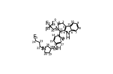 C[C@@H]1Cc2c([nH]c3ccccc23)[C@@H](c2ccc(NC3CCN(CCCF)C3)cn2)N1CC(F)(F)F